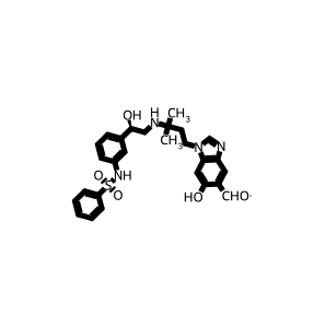 CC(C)(CCn1cnc2cc([C]=O)c(O)cc21)NC[C@H](O)c1cccc(NS(=O)(=O)c2ccccc2)c1